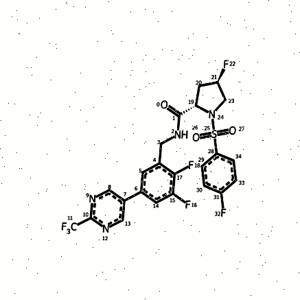 O=C(NCc1cc(-c2cnc(C(F)(F)F)nc2)cc(F)c1F)[C@@H]1C[C@@H](F)CN1S(=O)(=O)c1ccc(F)cc1